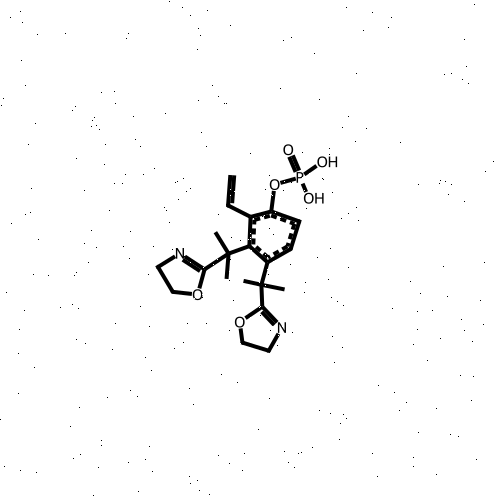 C=Cc1c(OP(=O)(O)O)ccc(C(C)(C)C2=NCCO2)c1C(C)(C)C1=NCCO1